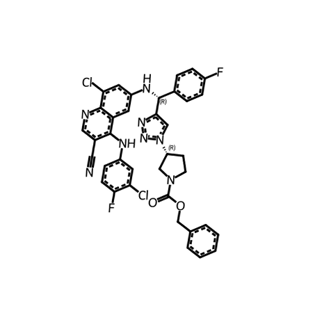 N#Cc1cnc2c(Cl)cc(N[C@H](c3ccc(F)cc3)c3cn([C@@H]4CCN(C(=O)OCc5ccccc5)C4)nn3)cc2c1Nc1ccc(F)c(Cl)c1